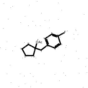 CC(=O)OC1(Cc2ccc(F)cc2)CCCC1